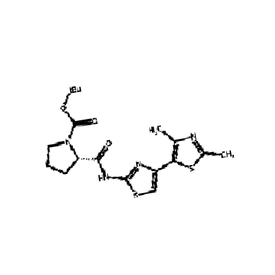 Cc1nc(C)c(-c2csc(NC(=O)[C@@H]3CCCN3C(=O)OC(C)(C)C)n2)s1